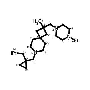 CCN1CCN(CC2(C)CC3(CCN(CC4(CC(C)C)CC4)CC3)C2)CC1